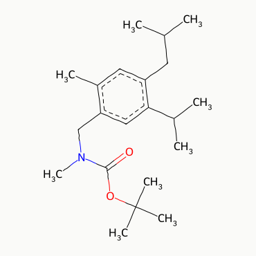 Cc1cc(CC(C)C)c(C(C)C)cc1CN(C)C(=O)OC(C)(C)C